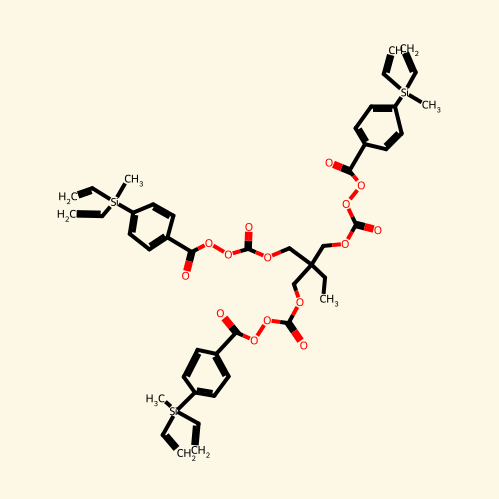 C=C[Si](C)(C=C)c1ccc(C(=O)OOC(=O)OCC(CC)(COC(=O)OOC(=O)c2ccc([Si](C)(C=C)C=C)cc2)COC(=O)OOC(=O)c2ccc([Si](C)(C=C)C=C)cc2)cc1